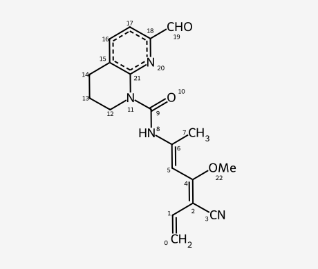 C=C/C(C#N)=C(\C=C(/C)NC(=O)N1CCCc2ccc(C=O)nc21)OC